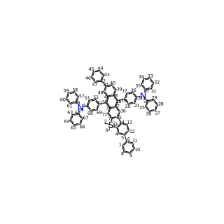 C[Si]1(C)c2cc(-c3ccccc3)ccc2-c2cc3c(-c4ccc(N(c5ccccc5)c5ccccc5)cc4)c4ccc(-c5ccccc5)cc4c(-c4ccc(N(c5ccccc5)c5ccccc5)cc4)c3cc21